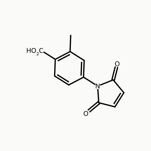 Cc1cc(N2C(=O)C=CC2=O)ccc1C(=O)O